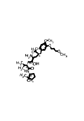 COCCCOc1cc(C[C@@H](C[C@H](N)[C@@H](O)C[C@H](C(=O)N[C@@H]2CCCC2(C)C)C(C)C)C(C)C)ccc1OC